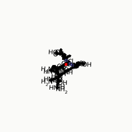 CCCCN(CCCS(=O)(=O)O)c1ccc2c(c1)C(C)(C)C(/C=C/C1=C(Cl)C(=C/C=C3/N(CCCCCC(=O)NCCCCC(NC(=O)C(CCCNC(=N)N)NC(=O)C(Cc4ccccc4)NC(=O)C(CCC(=O)O)NC)C(=O)NC(CCCNC(=N)N)C(=O)NC(CCCNC(=N)N)C(=O)O)c4ccc5cc(SOOO)ccc5c4C3(C)C)/CCC1)=[N+]2CCCC